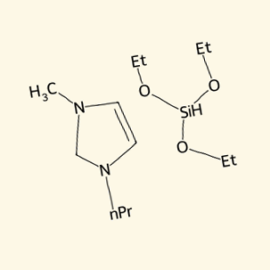 CCCN1C=CN(C)C1.CCO[SiH](OCC)OCC